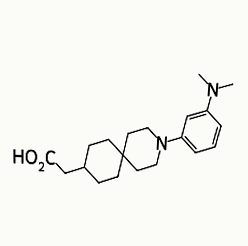 CN(C)c1cccc(N2CCC3(CCC(CC(=O)O)CC3)CC2)c1